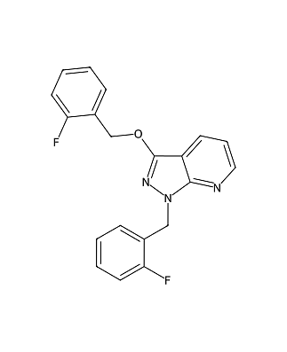 Fc1ccccc1COc1nn(Cc2ccccc2F)c2ncccc12